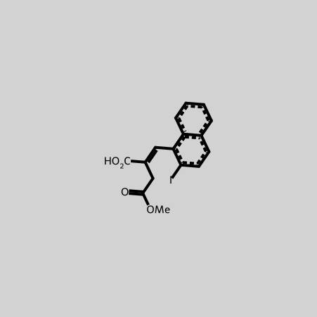 COC(=O)CC(=Cc1c(I)ccc2ccccc12)C(=O)O